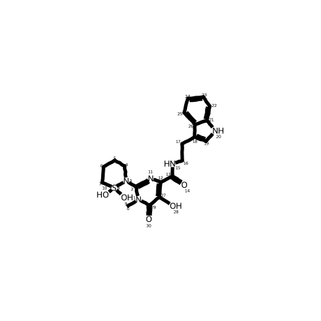 Cn1c(N2CCCCS2(O)O)nc(C(=O)NCCc2c[nH]c3ccccc23)c(O)c1=O